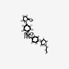 CCCN1CC[C@@H](c2ccc(NS(=O)(=O)c3ccc(N4CCCC4=O)cc3)cc2)C1